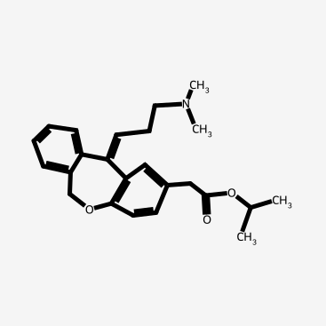 CC(C)OC(=O)Cc1ccc2c(c1)/C(=C\CCN(C)C)c1ccccc1CO2